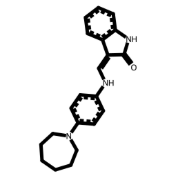 O=C1Nc2ccccc2C1=CNc1ccc(N2CCCCCC2)cc1